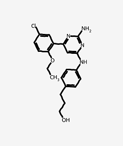 CCOc1ccc(Cl)cc1-c1cc(Nc2ccc(CCCO)cc2)nc(N)n1